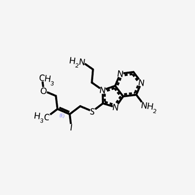 COC/C(C)=C(/I)CSc1nc2c(N)ncnc2n1CCN